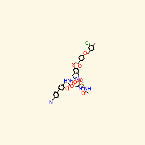 COC(=O)[C@H](Cc1ccc(-c2ccc(C#N)cc2)cc1)NC(=O)[C@@H]1Cc2cc3c(cc2CN1S(=O)(=O)c1sc(NC(C)=O)nc1C)OC(c1ccc(OCc2ccc(C)c(Cl)c2)cc1)CO3